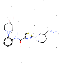 NCC1CCCN(c2nc(C(=O)Nc3ccccc3N3CCC(O)CC3)cs2)C1